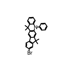 CC1(C)c2cc(Br)ccc2-c2cc3c(cc21)N(c1ccccc1)c1ccccc1C3(C)C